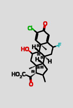 CC1C[C@H]2[C@@H]3CC(F)C4=CC(=O)C(Cl)=C[C@]4(C)[C@H]3C(O)C[C@]2(C)[C@H]1C(=O)C(=O)O